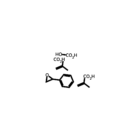 C=C(C)C(=O)O.C=C(C)C(=O)O.O=C(O)O.c1ccc(C2CO2)cc1